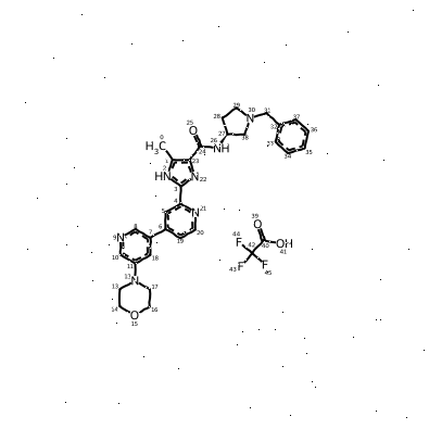 Cc1[nH]c(-c2cc(-c3cncc(N4CCOCC4)c3)ccn2)nc1C(=O)N[C@H]1CCN(Cc2ccccc2)C1.O=C(O)C(F)(F)F